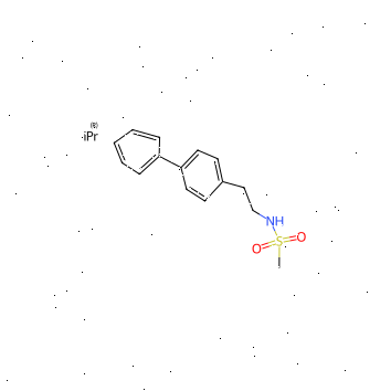 [CH2][C@H](C)c1ccc(-c2ccc(CCNS(C)(=O)=O)cc2)cc1